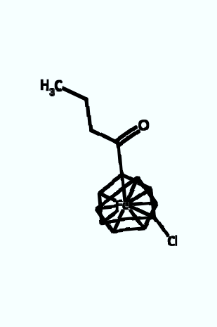 CCCC(=O)[C]12[CH]3[CH]4[C]5(Cl)[CH]1[Fe]43521678[CH]2[CH]1[CH]6[CH]7[CH]28